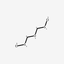 ClSCOCSCl